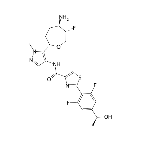 C[C@H](O)c1cc(F)c(-c2nc(C(=O)Nc3cnn(C)c3[C@@H]3CC[C@@H](N)[C@H](F)CO3)cs2)c(F)c1